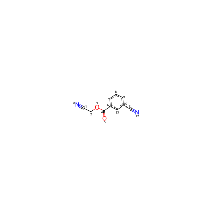 N#CCOC(=O)c1cccc(C#N)c1